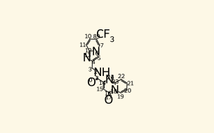 O=C(NCc1cn2cc(C(F)(F)F)ccc2n1)c1cc(=O)n2ccccc2n1